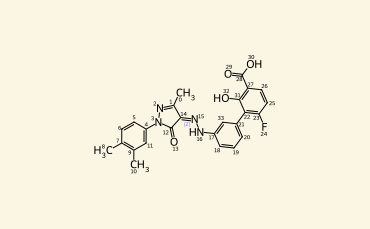 CC1=NN(c2ccc(C)c(C)c2)C(=O)/C1=N\Nc1cccc(-c2c(F)ccc(C(=O)O)c2O)c1